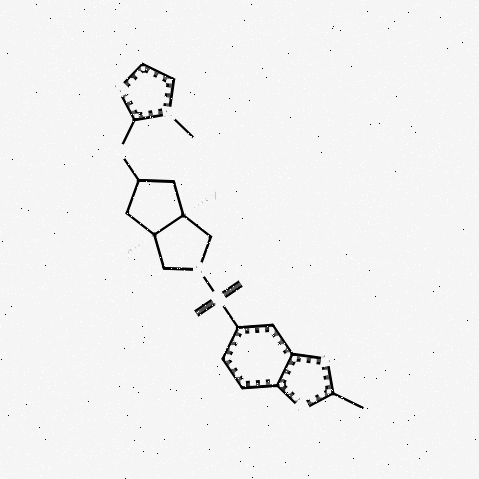 Cc1nc2cc(S(=O)(=O)N3C[C@H]4CC(Sc5nccn5C)C[C@H]4C3)ccc2o1